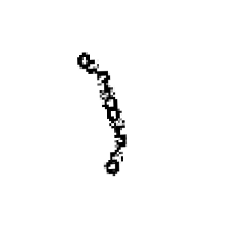 c1ccc2sc(-c3ccc(-c4nc5cc6cc7oc(-c8ccc(-c9cc%10ccccc%10s9)s8)nc7cc6cc5o4)s3)cc2c1